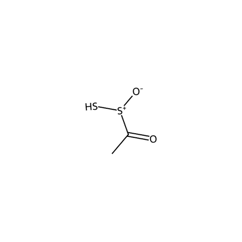 CC(=O)[S+]([O-])S